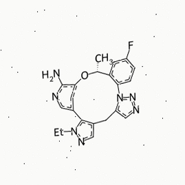 CCn1ncc2c1-c1cnc(N)c(c1)O[C@H](C)c1cc(F)ccc1-n1nncc1C2